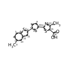 Cc1ccc2sc(-c3ccc(-c4nc(C)c(C(=O)O)s4)s3)cc2c1